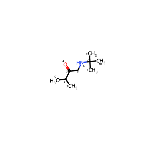 CC(C)C(=O)CNC(C)(C)C